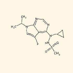 CC(C)n1cc(F)c2c(N(NS(C)(=O)=O)C3CC3)ncnc21